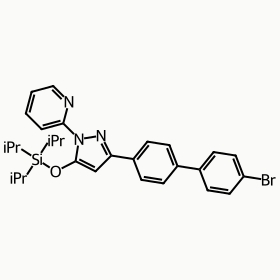 CC(C)[Si](Oc1cc(-c2ccc(-c3ccc(Br)cc3)cc2)nn1-c1ccccn1)(C(C)C)C(C)C